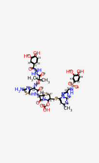 Cc1cc(SCC2=C(OC(=O)O)N3C(=O)[C@@H](NC(=O)/C(=N\OC(C)(C)C(=O)NNC(=O)c4ccc(O)c(O)c4)c4csc(N)n4)[C@H]3SC2)n2nc(CNS(=O)(=O)c3ccc(O)c(O)c3)nc2n1